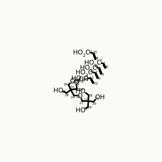 C=CC(=O)O.C=CC(=O)O.C=CC(=O)O.C=CC(=O)O.C=CC(=O)O.OCC(CO)(CO)COCC(CO)(CO)COO